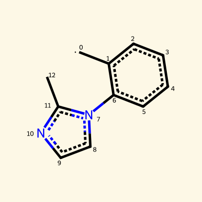 [CH2]c1ccccc1-n1ccnc1C